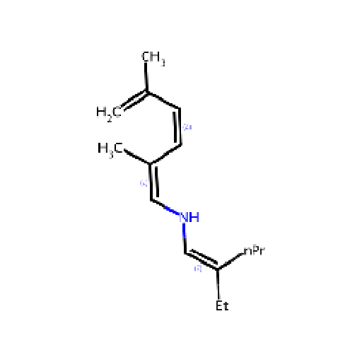 C=C(C)/C=C\C(C)=C/N/C=C(/CC)CCC